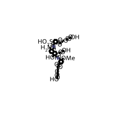 COc1ccc(S(=O)(=O)CCOSOOO)cc1/N=N/c1c(SOOO)cc2c(/N=N/c3cc(S(=O)(=O)CCOSOOO)ccc3S(=O)(=O)O)c(N)ccc2c1O